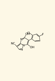 N#Cc1cnn2c(O)c(-c3ccc(F)cc3Cl)c(O)nc12